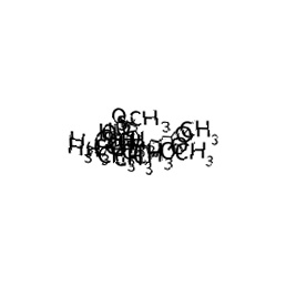 COCC(Cc1cccc(C(C)(CCCC(C)(C)CS(=O)(=O)CCO[Si](C)(C)C(C)(C)C)C(=O)OC(C)(C)C)c1)C(=O)OC